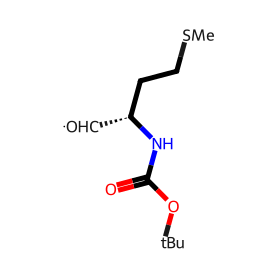 CSCC[C@@H]([C]=O)NC(=O)OC(C)(C)C